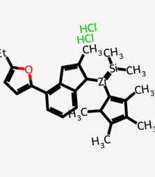 CCc1ccc(-c2cccc3c2C=C(C)[CH]3[Zr]([C]2=C(C)C(C)=C(C)C2C)=[Si](C)C)o1.Cl.Cl